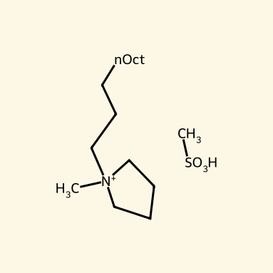 CCCCCCCCCCC[N+]1(C)CCCC1.CS(=O)(=O)O